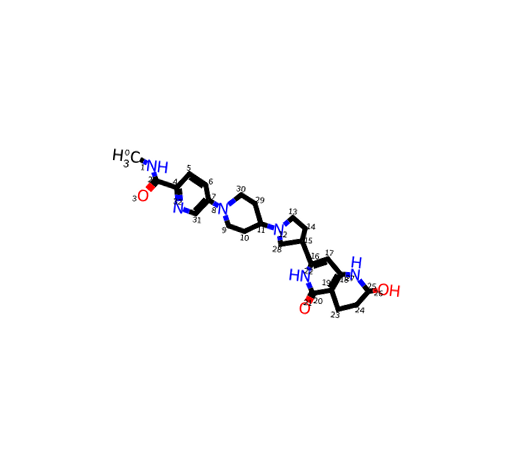 CNC(=O)c1ccc(N2CCC(N3CCC(c4cc5c(c(=O)[nH]4)CCC(O)N5)C3)CC2)cn1